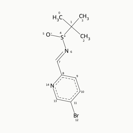 CC(C)(C)[S+]([O-])/N=C/c1ccc(Br)cn1